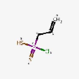 C=CCP(=S)(S)Cl